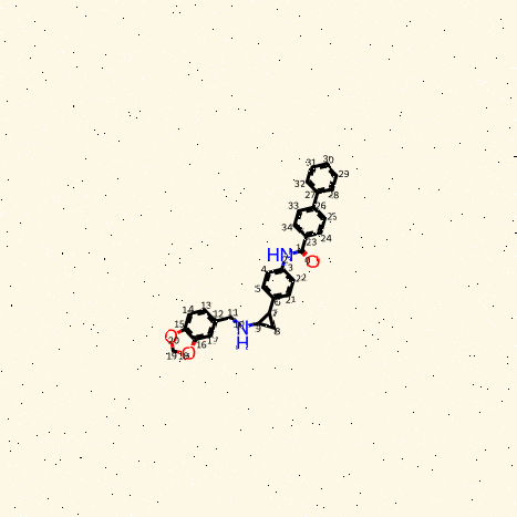 O=C(Nc1ccc(C2CC2NCc2ccc3c(c2)OCO3)cc1)c1ccc(-c2ccccc2)cc1